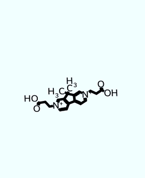 CC1(C)c2c[n+](CCC(=O)O)ccc2-c2cc[n+](CCC(=O)O)cc21